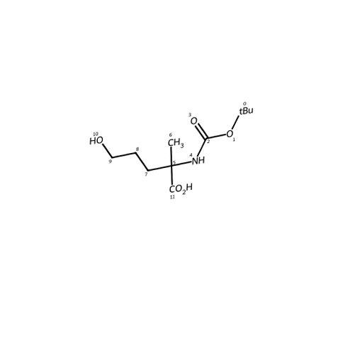 CC(C)(C)OC(=O)NC(C)(CCCO)C(=O)O